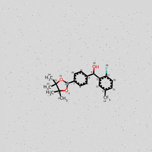 CC1(C)OB(c2ccc(C(O)c3cc(C(F)(F)F)ccc3F)cc2)OC1(C)C